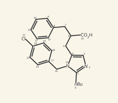 CCCCc1ncc(CC(Cc2ccccc2)C(=O)O)n1Cc1ccc(Cl)cc1